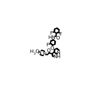 CN1CCN(CC(=O)c2c[nH]c3nccc(Oc4ccc(NC(=O)c5c(F)cccc5F)cc4F)c23)CC1